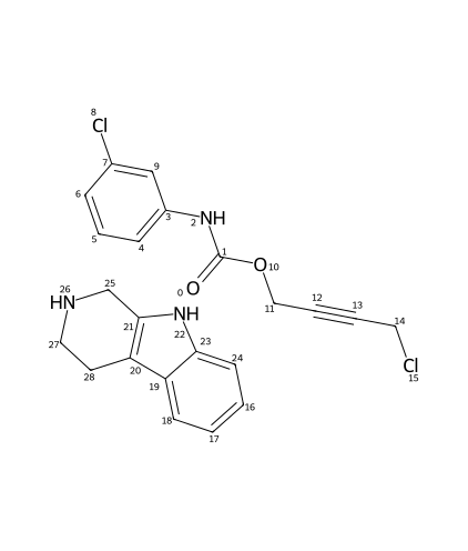 O=C(Nc1cccc(Cl)c1)OCC#CCCl.c1ccc2c3c([nH]c2c1)CNCC3